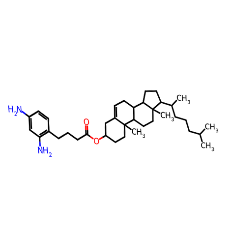 CC(C)CCCC(C)C1CCC2C3CC=C4CC(OC(=O)CCCc5ccc(N)cc5N)CCC4(C)C3CCC12C